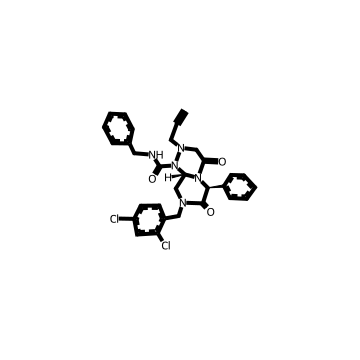 C#CCN1CC(=O)N2[C@@H](c3ccccc3)C(=O)N(Cc3ccc(Cl)cc3Cl)C[C@@H]2N1C(=O)NCc1ccccc1